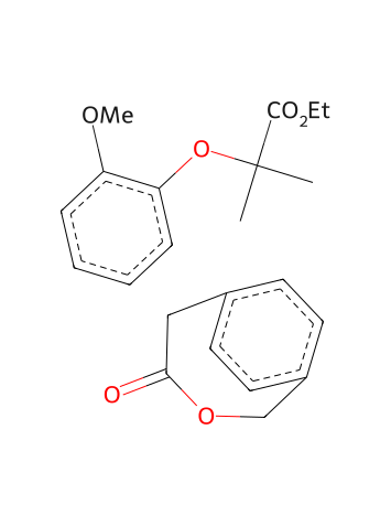 CCOC(=O)C(C)(C)Oc1ccccc1OC.O=C1Cc2ccc(cc2)CO1